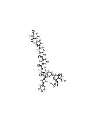 CC(C)n1cnc2cc(-c3ccc4c(c3)N(C3CC(N5CCCCC5)C3)C(=O)C43CCN(C(=O)[C@H]4CCCN(C(=O)CC5CCN(c6ccc([C@H]7CCC(=O)NC7=O)cn6)CC5)C4)CC3)nc(NC3CC3)c21